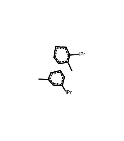 Cc1cccc(C(C)C)c1.Cc1ccccc1C(C)C